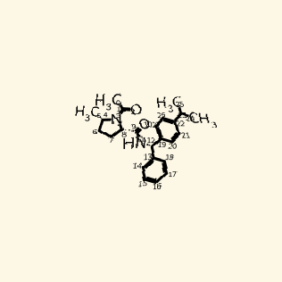 CC(=O)N1[C@@H](C)CC[C@H]1C(=O)N[C@@H](c1ccccc1)c1ccc(C(C)C)cc1